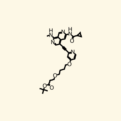 CNc1ncc(C#Cc2cc(OCCCCOCCC(=O)OC(C)(C)C)ccn2)c2cc(NC(=O)C3CC3)ncc12